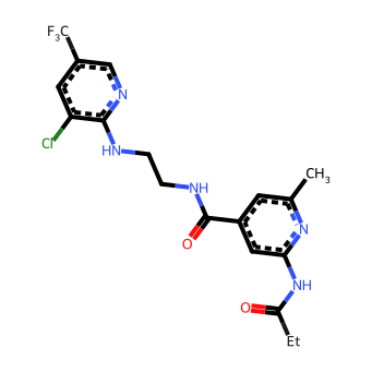 CCC(=O)Nc1cc(C(=O)NCCNc2ncc(C(F)(F)F)cc2Cl)cc(C)n1